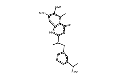 CNC(C)c1cccc(CN(C)c2nc(=O)c3c(C)c(OC)c(OC)cc3[nH]2)c1